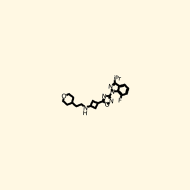 CC(C)c1nn(-c2noc(C3CC(NCCC4CCOCC4)C3)n2)c2c(F)cccc12